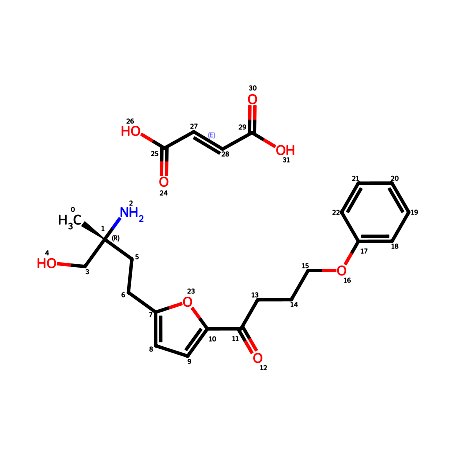 C[C@](N)(CO)CCc1ccc(C(=O)CCCOc2ccccc2)o1.O=C(O)/C=C/C(=O)O